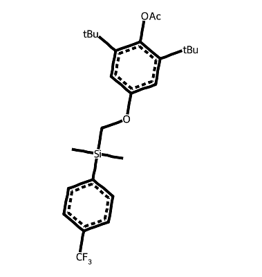 CC(=O)Oc1c(C(C)(C)C)cc(OC[Si](C)(C)c2ccc(C(F)(F)F)cc2)cc1C(C)(C)C